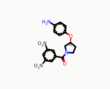 Nc1ccc(O[C@H]2CCN(C(=O)c3cc([N+](=O)[O-])cc([N+](=O)[O-])c3)C2)cc1